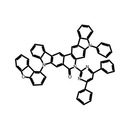 O=c1c2cc3c(cc2c2cc4c5ccccc5n(-c5ccccc5)c4cc2n1-c1nc(-c2ccccc2)cc(-c2ccccc2)n1)c1ccccc1n3-c1cccc2oc3ccccc3c12